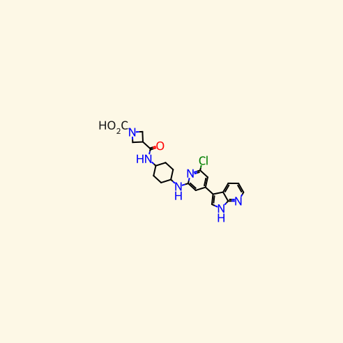 O=C(NC1CCC(Nc2cc(-c3c[nH]c4ncccc34)cc(Cl)n2)CC1)C1CN(C(=O)O)C1